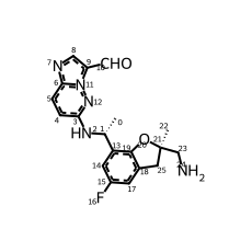 C[C@@H](Nc1ccc2ncc(C=O)n2n1)c1cc(F)cc2c1O[C@@](C)(CN)C2